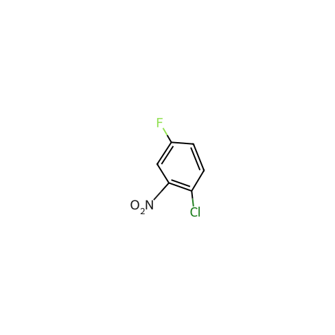 O=[N+]([O-])c1cc(F)ccc1Cl